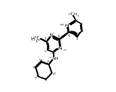 Cc1cccc(-c2nc(C)cc(NC3CCCCC3)n2)n1